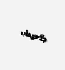 Cn1nc2cc(-n3ccc4cc(C(=O)N5CCC(F)(F)CC5)cnc43)ccn2c1=O